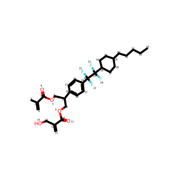 C=C(C)C(=O)OCC(COC(=O)C(=C)CO)c1ccc(C(F)(F)C(F)(F)C2CCC(CCCCC)CC2)cc1